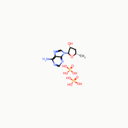 C[C@H]1C[C@@H](O)[C@H](n2cnc3c(N)ncnc32)O1.O=P(O)(O)O.O=P(O)(O)O